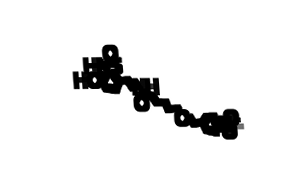 O=C(CCCCCOCCc1ccc([N+](=O)[O-])cc1)NCCc1ccc(O)c2[nH]c(=O)sc12